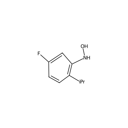 CC(C)c1ccc(F)cc1NO